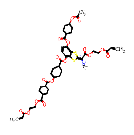 [C-]#[N+]/C(C(=O)OCCOC(=O)C=C)=C1/Sc2c(OC(=O)C3CCC(OC(C)=O)CC3)ccc(OC(=O)C3CCC(OC(=O)C4CCC(C(=O)OCCOC(=O)C=C)CC4)CC3)c2S1